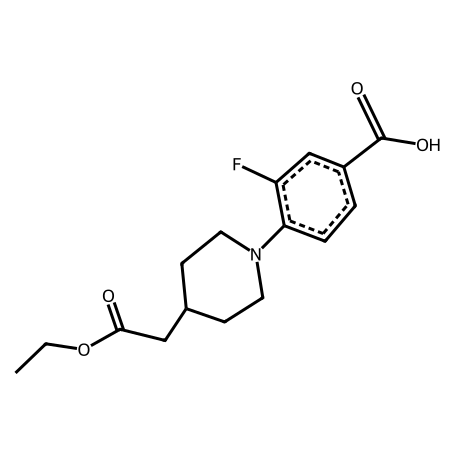 CCOC(=O)CC1CCN(c2ccc(C(=O)O)cc2F)CC1